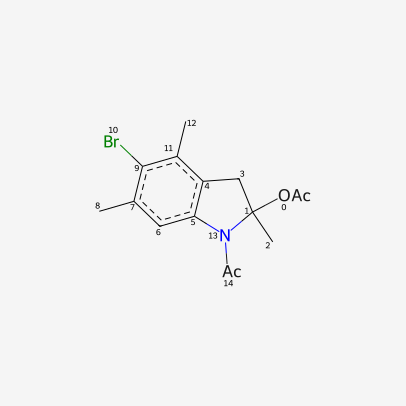 CC(=O)OC1(C)Cc2c(cc(C)c(Br)c2C)N1C(C)=O